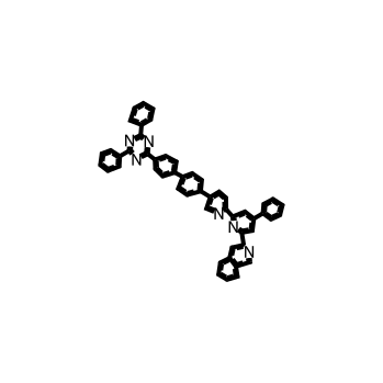 c1ccc(-c2cc(-c3ccc(-c4ccc(-c5ccc(-c6nc(-c7ccccc7)nc(-c7ccccc7)n6)cc5)cc4)cn3)nc(-c3cc4ccccc4cn3)c2)cc1